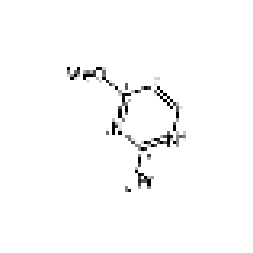 COc1ccnc(C(C)C)n1